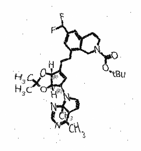 CC1=NC=NC2(C)C1C=CN2[C@@H]1C=C(CCc2cc(C(F)F)cc3c2CN(C(=O)OC(C)(C)C)CC3)[C@H]2OC(C)(C)O[C@H]21